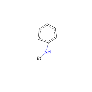 [CH2]CNc1ccccc1